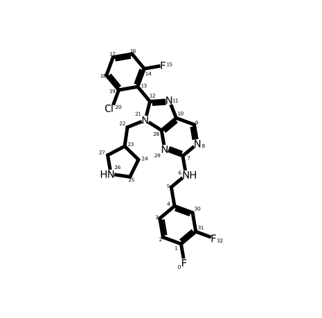 Fc1ccc(CNc2ncc3nc(-c4c(F)cccc4Cl)n(CC4CCNC4)c3n2)cc1F